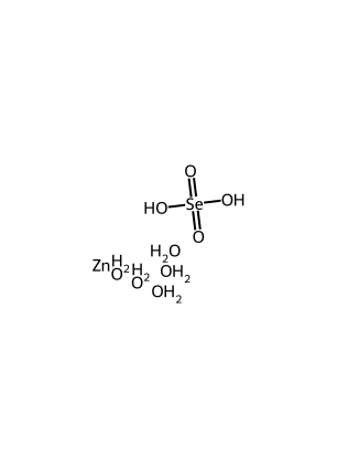 O.O.O.O.O.O=[Se](=O)(O)O.[Zn]